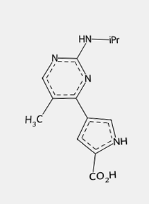 Cc1cnc(NC(C)C)nc1-c1c[nH]c(C(=O)O)c1